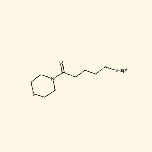 CCCCCCCCCCCC(=O)N1CCSCC1